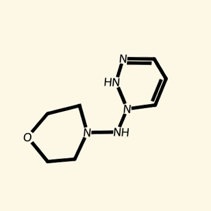 C1=CN(NN2CCOCC2)NN=C1